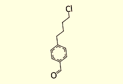 O=Cc1ccc(CCCCCl)cc1